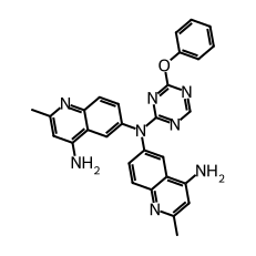 Cc1cc(N)c2cc(N(c3ccc4nc(C)cc(N)c4c3)c3ncnc(Oc4ccccc4)n3)ccc2n1